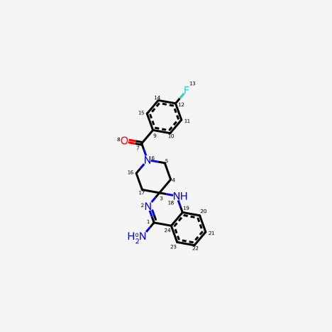 NC1=NC2(CCN(C(=O)c3ccc(F)cc3)CC2)Nc2ccccc21